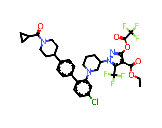 CCOC(=O)c1c(OC(=O)C(F)(F)F)nn(C2CCCN(c3cc(Cl)ccc3-c3ccc(C4CCN(C(=O)C5CC5)CC4)cc3)C2)c1C(F)(F)F